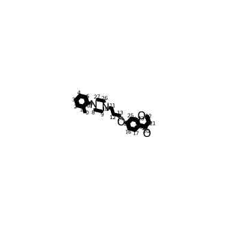 Cc1ccccc1N1CCN(CCCOc2ccc3c(=O)ccoc3c2)CC1